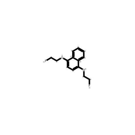 FCCOc1ccc(OCCF)c2ccccc12